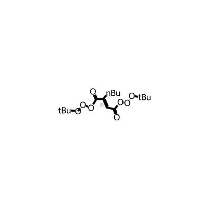 CCCC/C(=C\C(=O)OOOC(C)(C)C)C(=O)OOOC(C)(C)C